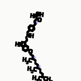 CC(C)=CCC/C(C)=C/CC/C(C)=C/COc1ccc2[nH]cc(CCNCc3ccc(/C=C/C(=O)NO)cc3)c2c1